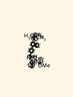 COC(=O)N[C@H](C(=O)N1CC2(C[C@H]1c1ncc(-c3ccc(-c4ccc(B5OC(C)(C)C(C)(C)O5)c5c4C4CCC5CC4)cc3)[nH]1)OCCO2)C(C)C